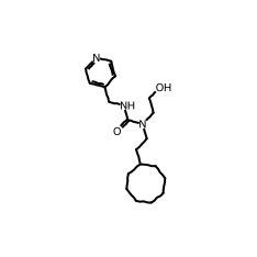 O=C(NCc1ccncc1)N(CCO)CCC1CCCCCCC1